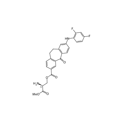 COC(=O)[C@@H](N)COC(=O)c1ccc2c(c1)C(=O)c1ccc(Nc3ccc(F)cc3F)cc1CC2